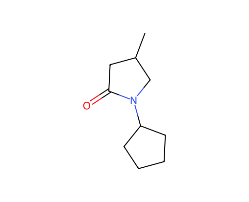 CC1CC(=O)N(C2CCCC2)C1